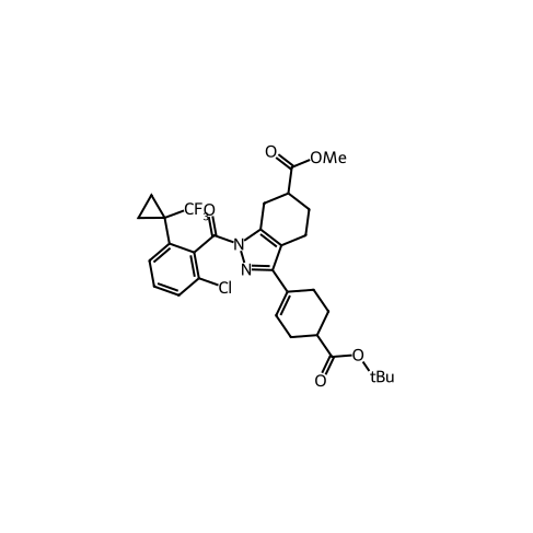 COC(=O)C1CCc2c(C3=CCC(C(=O)OC(C)(C)C)CC3)nn(C(=O)c3c(Cl)cccc3C3(C(F)(F)F)CC3)c2C1